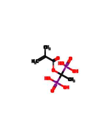 C=C(C)C(=O)OC(C)(P(=O)(O)O)P(=O)(O)O